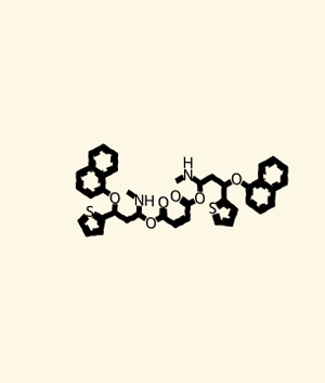 CNC(CC(Oc1cccc2ccccc12)c1cccs1)OC(=O)/C=C\C(=O)OC(CC(Oc1cccc2ccccc12)c1cccs1)NC